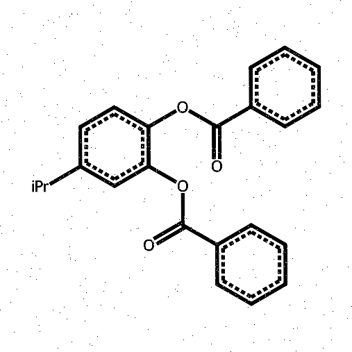 CC(C)c1ccc(OC(=O)c2ccccc2)c(OC(=O)c2ccccc2)c1